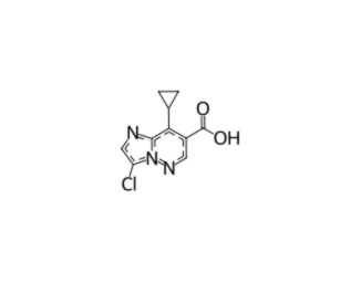 O=C(O)c1cnn2c(Cl)cnc2c1C1CC1